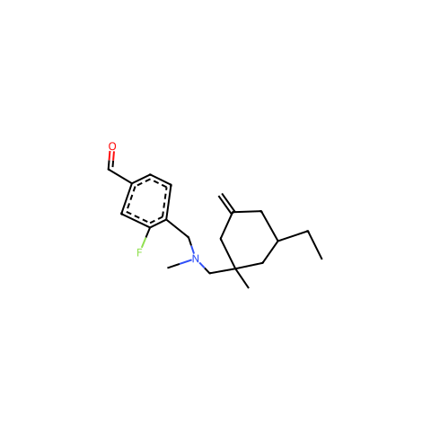 C=C1CC(CC)CC(C)(CN(C)Cc2ccc(C=O)cc2F)C1